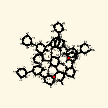 Cc1ccc(-c2c(-n3c4ccccc4c4cc(-c5ccccc5)ccc43)c(-c3ccccn3)c(-n3c4ccccc4c4cc(-c5ccccc5)ccc43)c(-n3c4ccccc4c4cc(-c5ccccc5)ccc43)c2-n2c3ccccc3c3cc(-c4ccccc4)ccc32)c(C)n1